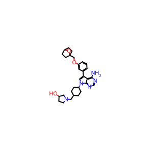 Nc1ncnc2c1c(-c1cccc(OCC34CCC(CC3)O4)c1)cn2C1CCC(CN2CCC(O)C2)CC1